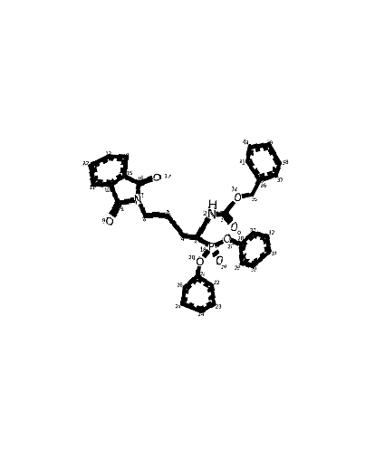 O=C(NC(CCCN1C(=O)c2ccccc2C1=O)P(=O)(Oc1ccccc1)Oc1ccccc1)OCc1ccccc1